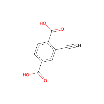 C#Cc1cc(C(=O)O)ccc1C(=O)O